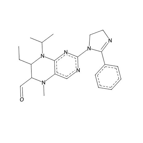 CCC1C(C=O)N(C)c2cnc(N3CCN=C3c3ccccc3)nc2N1C(C)C